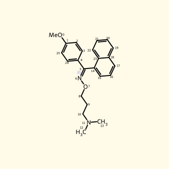 COc1ccc(/C(=N/OCCCN(C)C)c2cccc3ccccc23)cc1